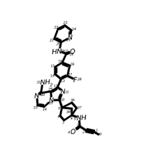 CC#CC(=O)NC12CCC(c3nc(-c4ccc(C(=O)Nc5ccccn5)cc4F)c4c(N)nccn34)(CC1)C2